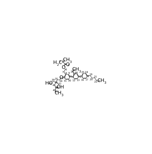 C=C(C)C(=O)OCCc1cc(-c2ccc(-c3ccc(CCCCC)cc3)cc2CC)ccc1OCCC(CO)(CO)CCCC